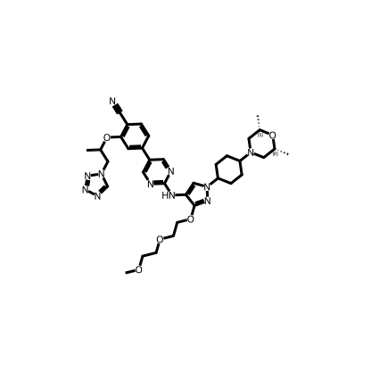 COCCOCCOc1nn(C2CCC(N3C[C@@H](C)O[C@@H](C)C3)CC2)cc1Nc1ncc(-c2ccc(C#N)c(OC(C)Cn3cnnn3)c2)cn1